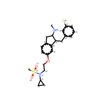 CNC1Cc2ccc(OCCN(C3CC3)S(C)(=O)=O)cc2C1Cc1cccc(F)c1